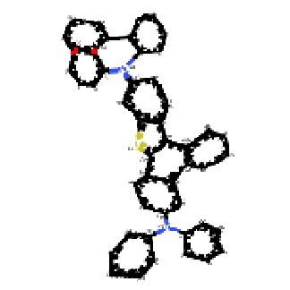 c1ccc(-c2ccccc2N(c2ccccc2)c2ccc3c(c2)sc2c4ccc(N(c5ccccc5)c5ccccc5)cc4c4ccccc4c32)cc1